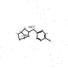 Cl.Fc1ccc(CC2CC3CCC(C2)N3)cc1